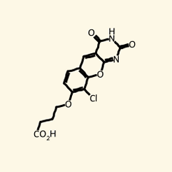 O=C(O)CCCOc1ccc2cc3c(=O)[nH]c(=O)nc-3oc2c1Cl